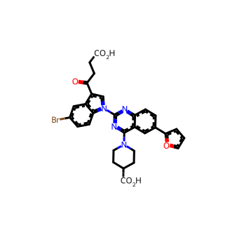 O=C(O)CCC(=O)c1cn(-c2nc(N3CCC(C(=O)O)CC3)c3cc(-c4ccco4)ccc3n2)c2ccc(Br)cc12